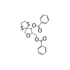 O=C(OCC1OCC2(SCCS2)C1OC(=O)c1ccccc1)c1ccccc1